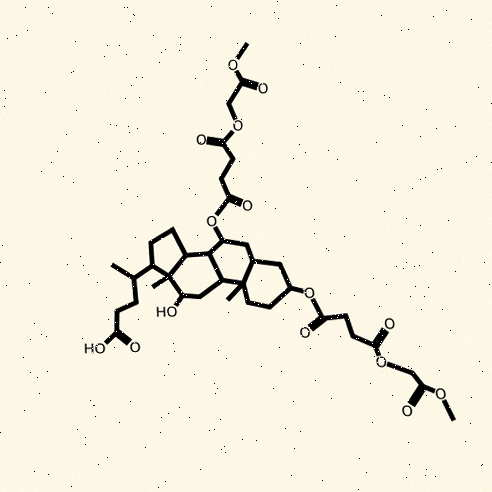 COC(=O)COC(=O)CCC(=O)OC1CCC2(C)C(C1)CC(OC(=O)CCC(=O)OCC(=O)OC)C1C2CC(O)C2(C)C(C(C)CCC(=O)O)CCC12